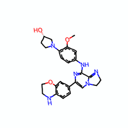 COc1cc(NC2=NC(c3ccc4c(c3)OCCN4)=CN3CCN=C23)ccc1N1CC[C@H](O)C1